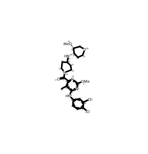 COc1nc(Nc2ccc(Cl)c(Cl)c2)c(C)c(C(=O)N2CCC(N[C@H]3CCOC[C@H]3OC)CC2)n1